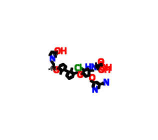 Cc1c(COc2cc(OCc3cncc(C#N)c3)c(CN[C@@](C)(CO)C(=O)O)cc2Cl)cccc1-c1cccc(O[C@H](C)CCN2CC[C@@H](O)C2)c1C